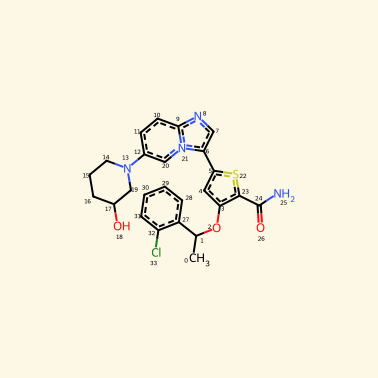 CC(Oc1cc(-c2cnc3ccc(N4CCCC(O)C4)cn23)sc1C(N)=O)c1ccccc1Cl